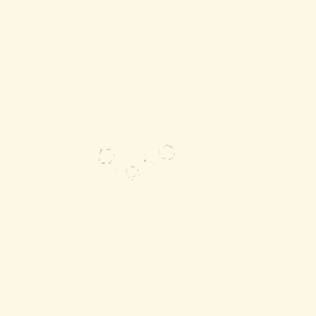 O=C(Nc1ccc(CCCC(C(=O)O)C(=O)O)cc1)c1nnc(Nc2ccc(F)c(F)c2)o1